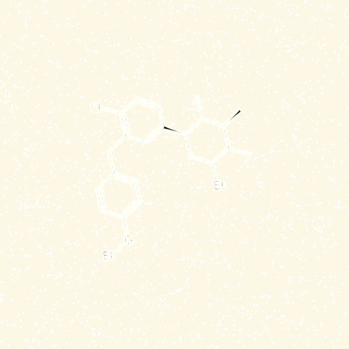 CCOc1ccc(Cc2cc([C@@H]3CC(CC)[C@@H](C)[C@H](C)[C@H]3C)ccc2Cl)cc1